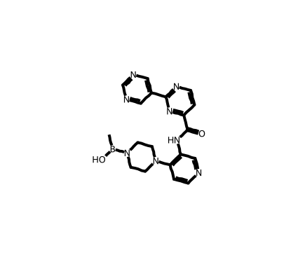 CB(O)N1CCN(c2ccncc2NC(=O)c2ccnc(-c3cncnc3)n2)CC1